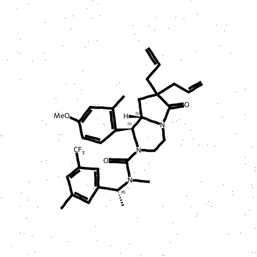 C=CCC1(CC=C)C[C@H]2[C@H](c3ccc(OC)cc3C)N(C(=O)N(C)[C@H](C)c3cc(C)cc(C(F)(F)F)c3)CCN2C1=O